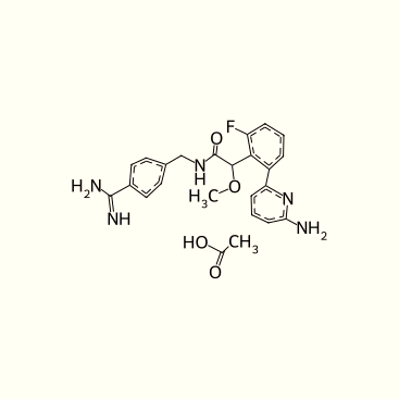 CC(=O)O.COC(C(=O)NCc1ccc(C(=N)N)cc1)c1c(F)cccc1-c1cccc(N)n1